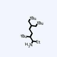 CCC(N)C(CCC(CC(C)(C)C)CC(C)(C)C)C(C)(C)C